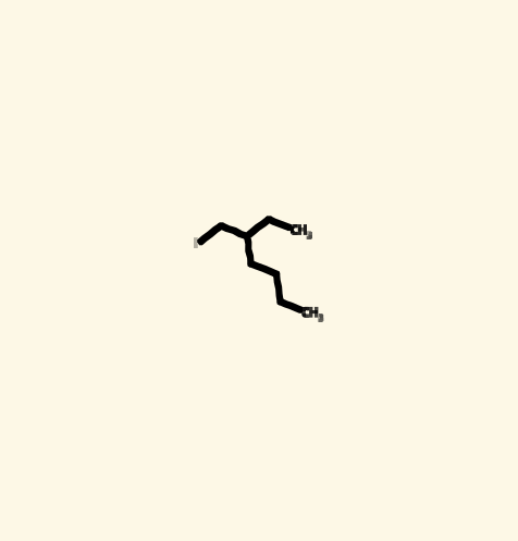 [C]CC(CC)CCCC